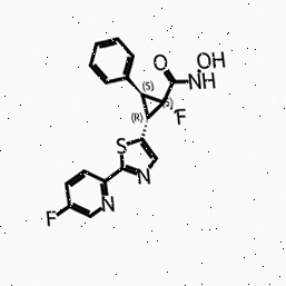 O=C(NO)[C@]1(F)[C@H](c2ccccc2)[C@H]1c1cnc(-c2ccc(F)cn2)s1